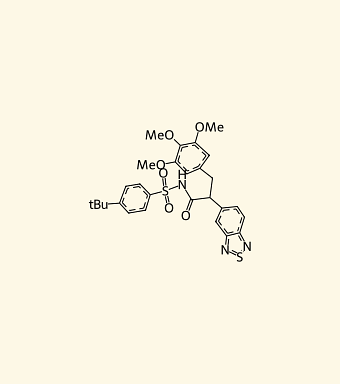 COc1cc(CC(C(=O)NS(=O)(=O)c2ccc(C(C)(C)C)cc2)c2ccc3nsnc3c2)cc(OC)c1OC